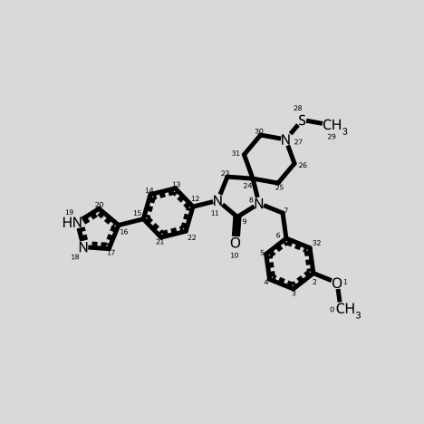 COc1cccc(CN2C(=O)N(c3ccc(-c4cn[nH]c4)cc3)CC23CCN(SC)CC3)c1